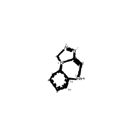 C1=C2N=NCN2c2ccccc2N1